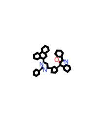 c1ccc(-c2nc(-c3cccc(-c4c5ccccc5nc5c4oc4ccccc45)c3)cc(-c3cc4ccccc4c4ccccc34)n2)cc1